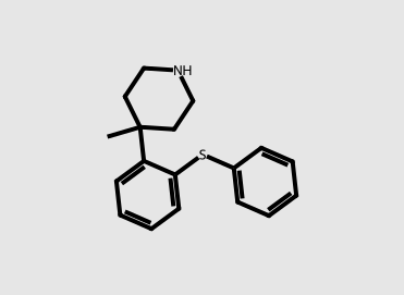 CC1(c2ccccc2Sc2ccccc2)CCNCC1